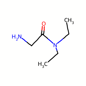 CCN(CC)C(=O)CN